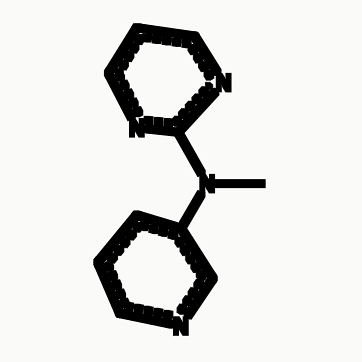 CN(c1cccnc1)c1ncccn1